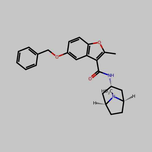 Cc1oc2ccc(OCc3ccccc3)cc2c1C(=O)N[C@@H]1C[C@H]2CC[C@@H](C1)N2C(=O)O